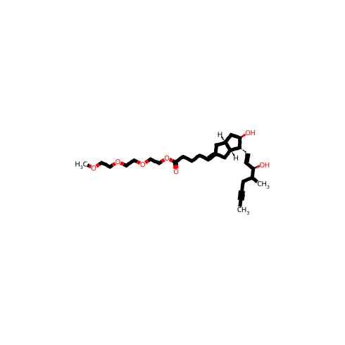 CC#CCC(C)[C@H](O)C=C[C@@H]1[C@H]2CC(=CCCCC(=O)OCCOCCOCCOC)C[C@H]2C[C@H]1O